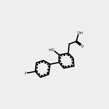 O=C(O)Cc1cccc(-c2ccc(F)cc2)c1O